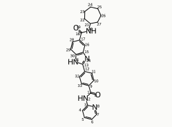 O=C(Nc1ccccn1)c1ccc(-c2nc3cc(C(=O)NC4CCCCCC4)ccc3[nH]2)cc1